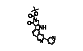 CC(C)(C)OC(=O)N1Cc2[nH]c3c(ccc4cnc(-c5cccnc5)cc43)c2C1=O